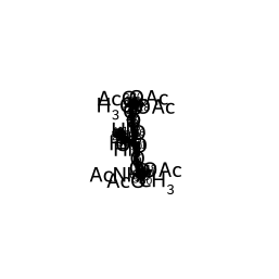 CC(=O)N[C@H]1C(OCCOCCNC(=O)[C@H](CCC(=O)NCCOCCOC2O[C@H](COC(C)=O)[C@H](OC(C)=O)[C@H](OC(C)=O)[C@H]2C)NCC(=O)c2ccccc2)O[C@H](COC(C)=O)[C@H](C)[C@@H]1OC(C)=O